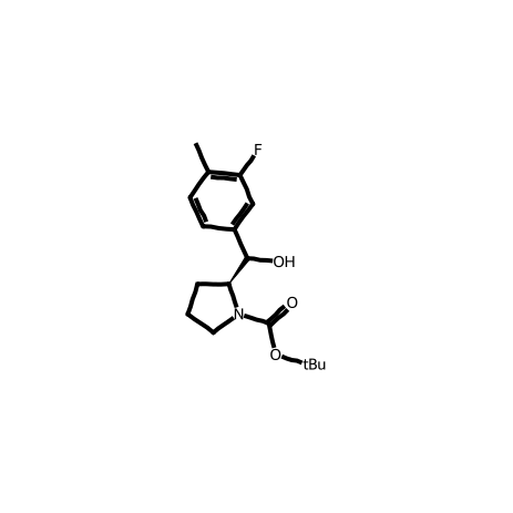 Cc1ccc(C(O)[C@@H]2CCCN2C(=O)OC(C)(C)C)cc1F